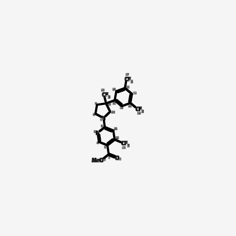 COC(=O)c1cnc(N2CCC(c3cc(C(F)(F)F)cc(C(F)(F)F)c3)(C(F)(F)F)C2)cc1C(F)(F)F